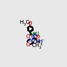 COc1ccc(C(=O)[n+]2noc([NH-])c2N2CCOCC2(C)C)cc1.Cl